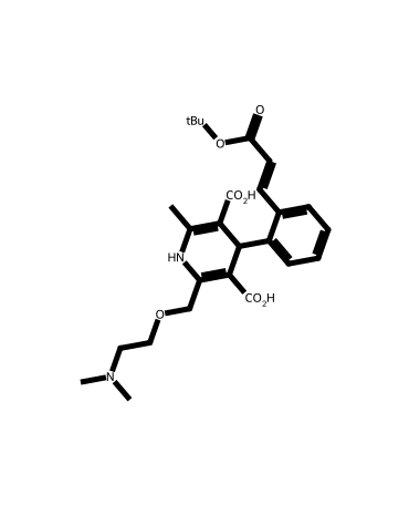 CC1=C(C(=O)O)C(c2ccccc2C=CC(=O)OC(C)(C)C)C(C(=O)O)=C(COCCN(C)C)N1